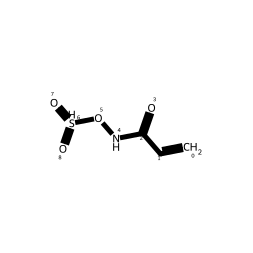 C=CC(=O)NO[SH](=O)=O